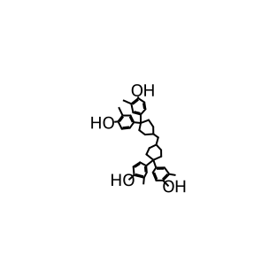 Cc1cc(C2(c3ccc(O)c(C)c3)CCC(CC3CCC(c4ccc(O)c(C)c4)(c4ccc(O)c(C)c4)CC3)CC2)ccc1O